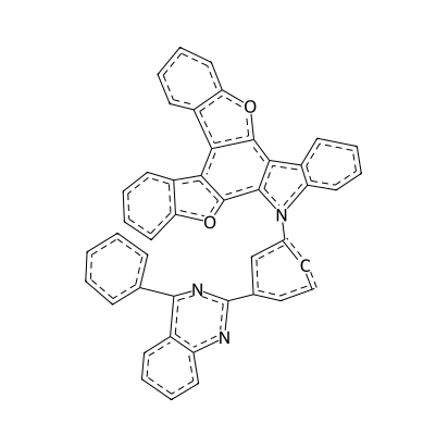 c1ccc(-c2nc(-c3cccc(-n4c5ccccc5c5c6oc7ccccc7c6c6c7ccccc7oc6c54)c3)nc3ccccc23)cc1